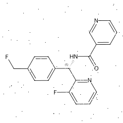 O=C(N[C@@H](c1ccc(CF)cc1)c1ncccc1F)c1cccnc1